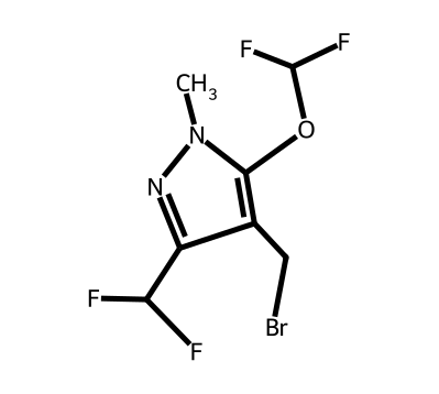 Cn1nc(C(F)F)c(CBr)c1OC(F)F